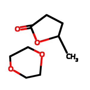 C1COCCO1.CC1CCC(=O)O1